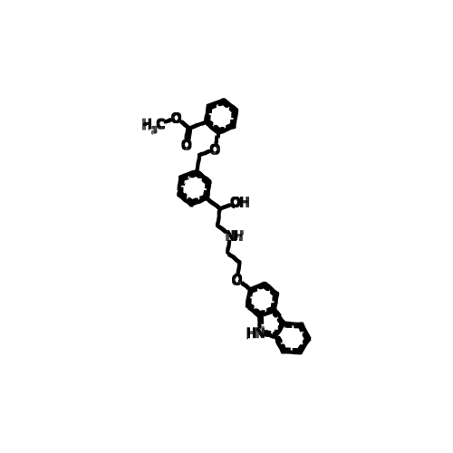 COC(=O)c1ccccc1OCc1cccc(C(O)CNCCOc2ccc3c(c2)[nH]c2ccccc23)c1